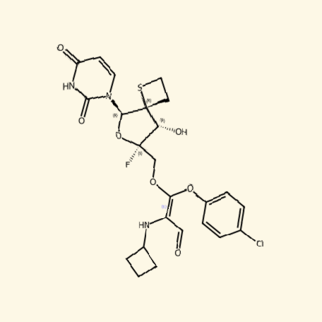 O=C/C(NC1CCC1)=C(/OC[C@@]1(F)O[C@@H](n2ccc(=O)[nH]c2=O)[C@@]2(CCS2)[C@@H]1O)Oc1ccc(Cl)cc1